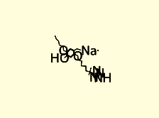 CCCCCOc1cc(CC)c(OCCCCCC(C)(C)c2nn[nH]n2)cc1O.[Na]